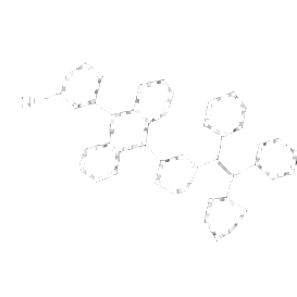 N#Cc1cccc(-c2c3ccccc3c(-c3cccc(C(=C(c4ccccc4)c4ccccc4)c4ccccc4)c3)c3ccccc23)c1